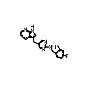 Cc1cc(F)ccc1CNc1ncc(Cc2c[nH]c3ncccc23)cn1